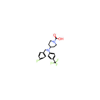 O=C(O)N1CCC(N(Cc2ccc(F)cc2)c2ccc(C(F)(F)F)cc2)CC1